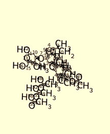 C=C(C)[C@@H]1CC[C@]2(CO[C@@H]3CC(O)O[C@H](CO)[C@@H]3O)CC[C@]3(C)[C@H](CC[C@@H]4[C@@]5(C)CCC(OC(C)=O)C(C)(C)[C@@H]5CC[C@]43C)[C@@H]12.CC(=O)O.CC(=O)O.CC(=O)O